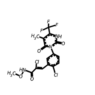 CONC(=O)C(Cl)=Cc1cc(-n2c(=O)[nH]c(C(F)(F)F)c(C)c2=O)ccc1Cl